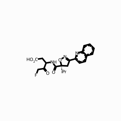 CC(C)[C@@]1(C(=O)NC(CC(=O)O)C(=O)CF)CC(c2ccc3ccccc3n2)=NO1